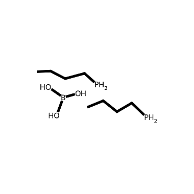 CCCCP.CCCCP.OB(O)O